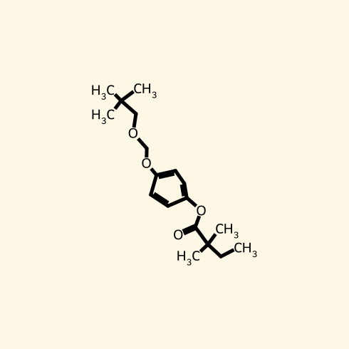 CCC(C)(C)C(=O)Oc1ccc(OCOCC(C)(C)C)cc1